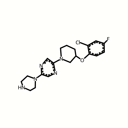 Fc1ccc(OC2CCCN(c3cnc(N4CCNCC4)cn3)C2)c(Cl)c1